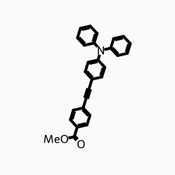 COC(=O)c1ccc(C#Cc2ccc(N(c3ccccc3)c3ccccc3)cc2)cc1